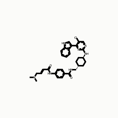 CN(C)C/C=C/C(=O)Nc1ccc(C(=O)NC[C@H]2CC[C@H](Nc3ncc(Cl)c(-c4c[nH]c5ccccc45)n3)CC2)cc1